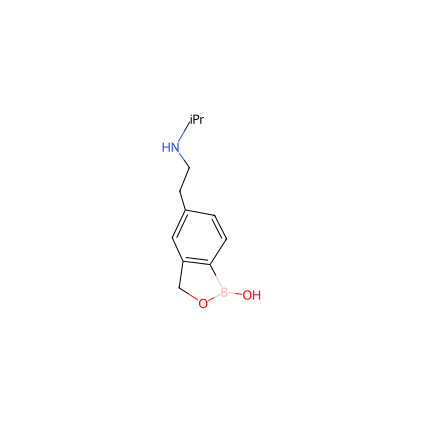 CC(C)NCCc1ccc2c(c1)COB2O